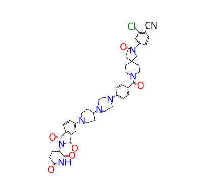 N#Cc1ccc(N2CC3(CCN(C(=O)c4ccc(N5CCN(C6CCN(c7ccc8c(c7)C(=O)N(C7CCC(=O)NC7=O)C8=O)CC6)CC5)cc4)CC3)CC2=O)cc1Cl